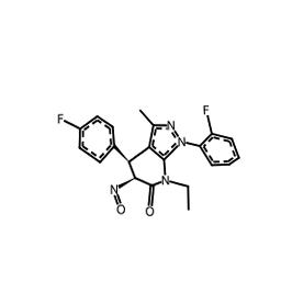 CCN1C(=O)[C@@H](N=O)[C@@H](c2ccc(F)cc2)c2c(C)nn(-c3ccccc3F)c21